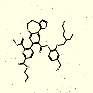 CCCCC(CC)COc1cc(CN)ccc1NC(=O)c1cc2c(cc1-c1ccc(C(=O)NCCC)nc1C(=O)OC)OCCc1ccsc1-2